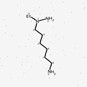 CCN(N)CCCCCCN